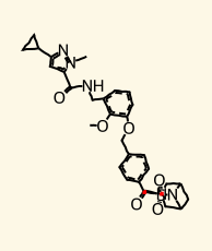 COc1c(CNC(=O)c2cc(C3CC3)nn2C)cccc1OCc1ccc(C(=O)N2CC3CC(C2)N3S(C)(=O)=O)cc1